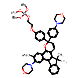 COc1cc2c3c(c4c(c2cc1N1CCOCC1)-c1ccccc1C4(C)C)C=CC(c1ccc(OCCO[Si](OC(C)(C)C)(OC(C)(C)C)OC(C)(C)C)cc1)(c1ccc(N2CCOCC2)cc1)O3